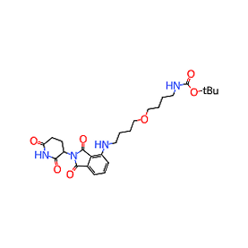 CC(C)(C)OC(=O)NCCCCOCCCCNc1cccc2c1C(=O)N(C1CCC(=O)NC1=O)C2=O